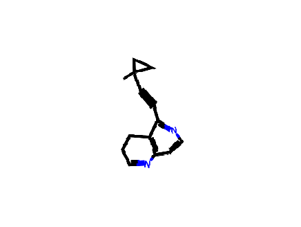 CC1(C#Cc2nccc3c2CCC=N3)CC1